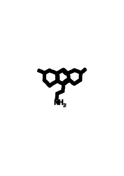 CC1CCc2c(cc3c(c2CCN)CCC(C)C3)C1